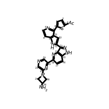 CC(=O)c1ccc(-c2nccc3[nH]c(-c4n[nH]c5ccc(-c6cncc(N7CC(N)C7)n6)nc45)cc23)s1